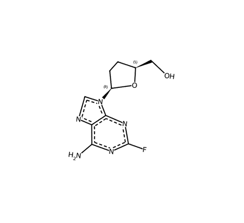 Nc1nc(F)nc2c1ncn2[C@H]1CC[C@@H](CO)O1